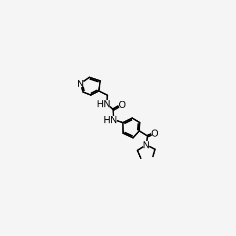 CCN(CC)C(=O)c1ccc(NC(=O)NCc2ccncc2)cc1